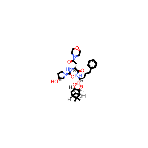 CC1(C)[C@@H]2C[C@H]3OB([C@H](CCCc4ccccc4)NC(=O)[C@@H](CC(=O)N4CCOCC4)NC(=O)N4CC[C@H](O)C4)O[C@@]3(C)[C@H]1C2